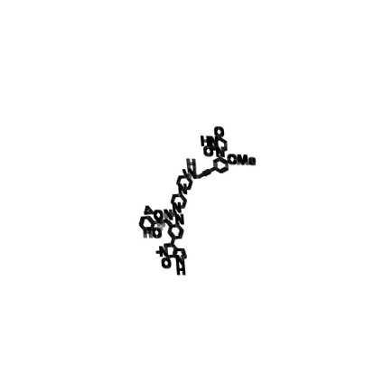 COc1ccc(C#CCNC2(C)CCN(C3CCN(c4nc([C@](CO)(OC5CC5)c5ccccc5)c5cc(-c6cn(C)c(=O)c7[nH]ccc67)ccc5n4)CC3)CC2)cc1N1CCC(=O)NC1=O